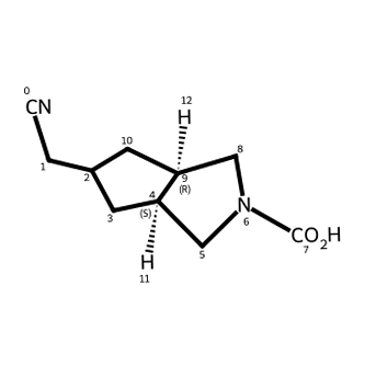 N#CCC1C[C@@H]2CN(C(=O)O)C[C@@H]2C1